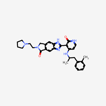 Cc1ccccc1CC(C)Nc1cc[nH]c(=O)c1-c1nc2cc3c(cc2[nH]1)CN(CCN1CCCC1)C3=O